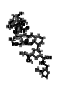 CCN1CCC[C@@H]1CNC(O)c1cc(-c2cccc(CN3O[C@@H](CO)[C@@H]([C@H](C)O)[C@H]3C(=O)N[C@H]3C[C@H]4C[C@@H]([C@@H]3C)C4(C)C)c2OC)cc(N(C)C)c1